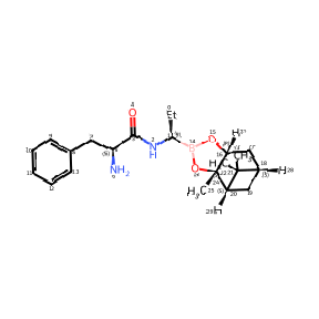 CC[C@H](NC(=O)[C@@H](N)Cc1ccccc1)B1O[C@@H]2C[C@@H]3C[C@@H](C3(C)C)[C@]2(C)O1